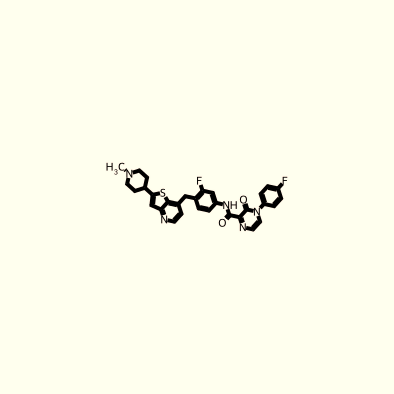 CN1CCC(c2cc3nccc(Cc4ccc(NC(=O)c5nccn(-c6ccc(F)cc6)c5=O)cc4F)c3s2)CC1